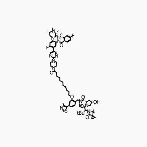 Cc1ncsc1-c1ccc(CNC(=O)[C@@H]2C[C@@H](O)CN2C(=O)[C@@H](NC(=O)C2(F)CC2)C(C)(C)C)c(OCCCCCCCCCCC(=O)N2CCN(c3ncc(-c4cc(NC(=O)c5ccc(F)cc5C(F)(F)F)c(N5C[C@@H](C)N(C)[C@@H](C)C5)cc4F)cn3)CC2)c1